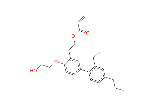 C=CC(=O)OCCc1cc(-c2ccc(CCC)cc2CC)ccc1OCCO